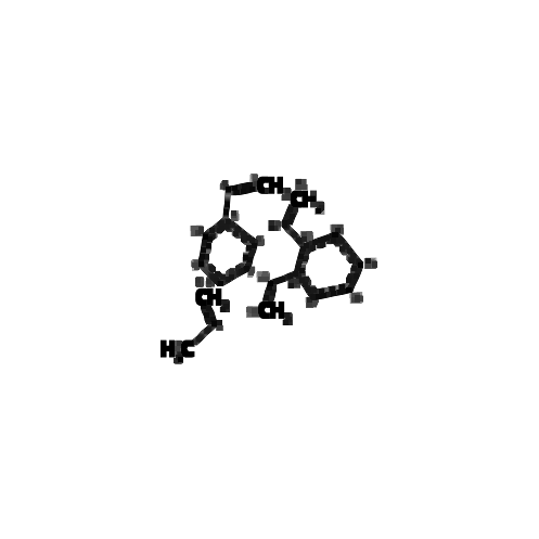 C=CC.C=Cc1ccccc1.C=Cc1ccccc1C=C